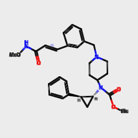 CONC(=O)/C=C/c1cccc(CN2CCC(N(C(=O)OC(C)(C)C)[C@@H]3C[C@H]3c3ccccc3)CC2)c1